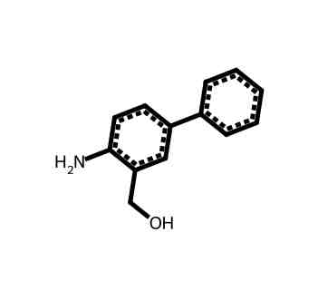 Nc1ccc(-c2ccccc2)cc1CO